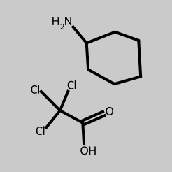 NC1CCCCC1.O=C(O)C(Cl)(Cl)Cl